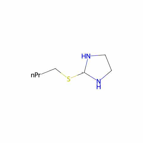 CCCCS[C]1NCCN1